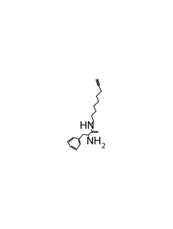 C#CCCCCCCCNC(=C)C(N)Cc1ccccc1